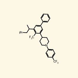 CC(C)CC(C)c1cc(-c2ccccc2)cc(C2CCN(c3ccc(C(F)(F)F)cc3)CC2)c1C(F)(F)F